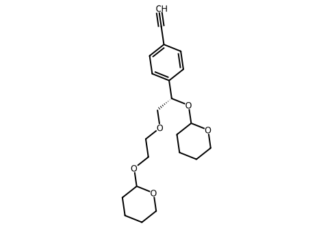 C#Cc1ccc([C@@H](COCCOC2CCCCO2)OC2CCCCO2)cc1